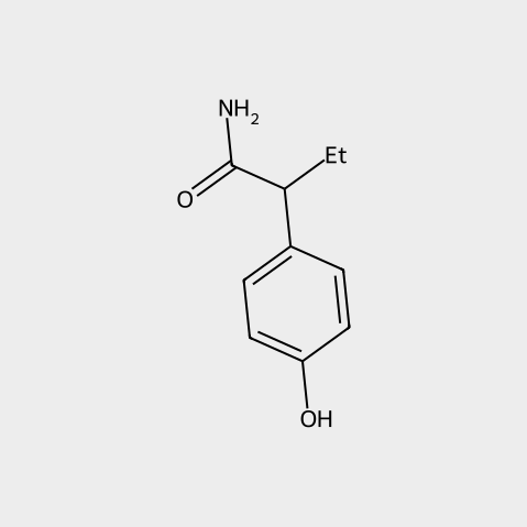 CCC(C(N)=O)c1ccc(O)cc1